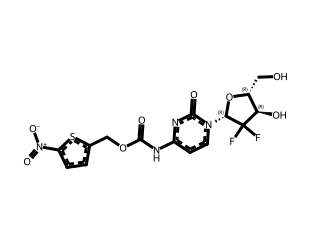 O=C(Nc1ccn([C@@H]2O[C@H](CO)[C@@H](O)C2(F)F)c(=O)n1)OCc1ccc([N+](=O)[O-])s1